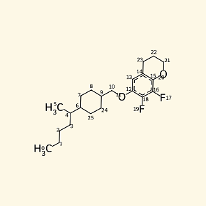 CCCCC(C)C1CCC(COc2cc3c(c(F)c2F)OCCC3)CC1